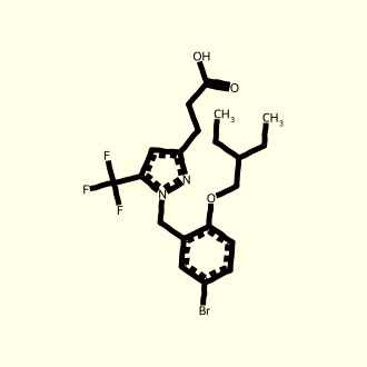 CCC(CC)COc1ccc(Br)cc1Cn1nc(CCC(=O)O)cc1C(F)(F)F